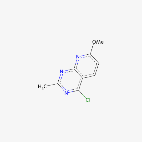 COc1ccc2c(Cl)nc(C)nc2n1